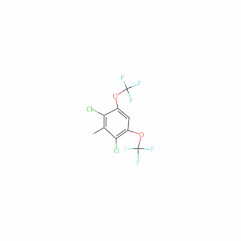 Cc1c(Cl)c(OC(F)(F)F)cc(OC(F)(F)F)c1Cl